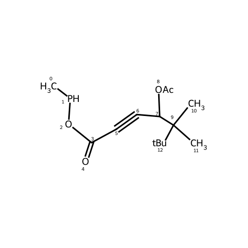 CPOC(=O)C#CC(OC(C)=O)C(C)(C)C(C)(C)C